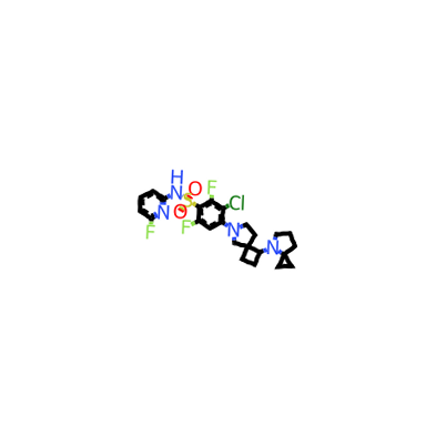 O=S(=O)(Nc1cccc(F)n1)c1c(F)cc(N2CCC3(CCC3N3CCCC34CC4)C2)c(Cl)c1F